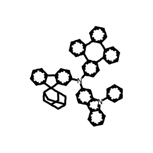 c1ccc(-n2c3ccccc3c3ccc(N(c4ccc5c(c4)-c4ccccc4-c4ccccc4-c4ccccc4-5)c4ccc5c(c4)C4(c6ccccc6-5)C5CC6CC(C5)CC4C6)cc32)cc1